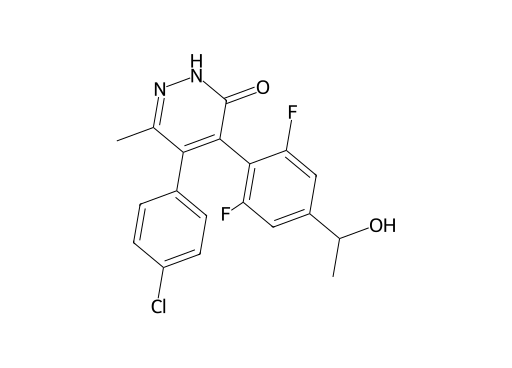 Cc1n[nH]c(=O)c(-c2c(F)cc(C(C)O)cc2F)c1-c1ccc(Cl)cc1